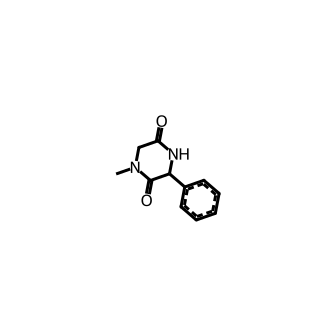 CN1CC(=O)NC(c2ccccc2)C1=O